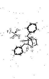 C[N@+]12CC[N@](C[C@@H]1Cc1ccccc1)[C@@H](Cc1ccccc1)C2.O=S(=O)([O-])C(F)(F)F